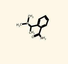 CC(c1ccccc1C(N)=O)N(C)C